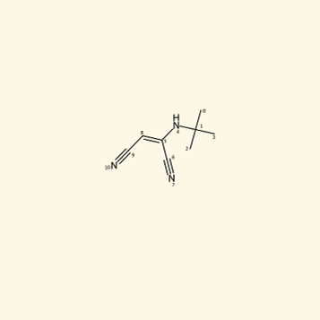 CC(C)(C)N/C(C#N)=C/C#N